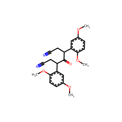 COc1ccc(OC)c(C(CC#N)C(=O)C(CC#N)c2cc(OC)ccc2OC)c1